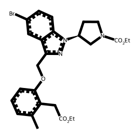 CCOC(=O)Cc1c(C)cccc1OCc1nn([C@H]2CCN(C(=O)OCC)C2)c2ccc(Br)cc12